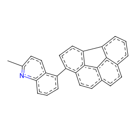 Cc1ccc2c(-c3ccc4c5c3ccc3ccc6cccc-4c6c35)cccc2n1